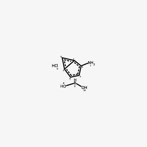 Cl.Nc1ccc2cc1-2.OBO